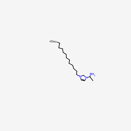 CCCCCCCCCCCCCCCCCCCCCCN1C=CN(C(C)N)C1